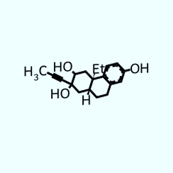 CC#CC1(O)C[C@H]2CCc3cc(O)ccc3[C@]2(CC)CC1O